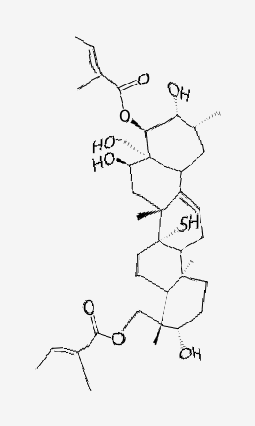 C/C=C(\C)C(=O)OC[C@]1(C)C2CC[C@]3(S)C(CC=C4C5C[C@@H](C)[C@@H](O)[C@H](OC(=O)/C(C)=C/C)[C@]5(CO)[C@H](O)C[C@]43C)[C@@]2(C)CC[C@@H]1O